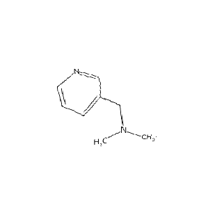 [CH2]N(C)Cc1cccnc1